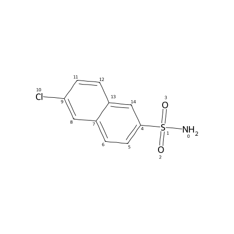 NS(=O)(=O)c1ccc2cc(Cl)ccc2c1